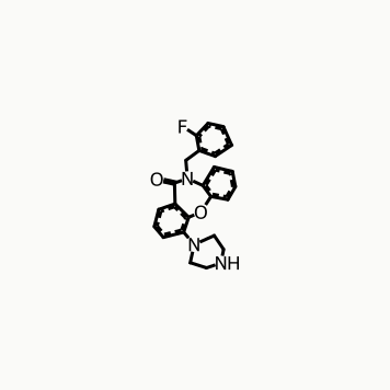 O=C1c2cccc(N3CCNCC3)c2Oc2ccccc2N1Cc1ccccc1F